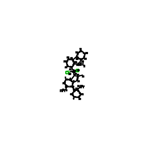 CCCc1ccc2c(c1-c1ccccc1C(C)C)C=C(C)[CH]2[Zr]([Cl])([Cl])[c]1cccc2c1[SiH2]c1ccccc1-2